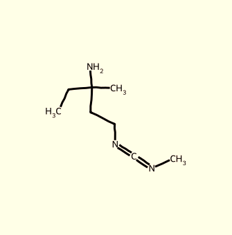 CCC(C)(N)CCN=C=NC